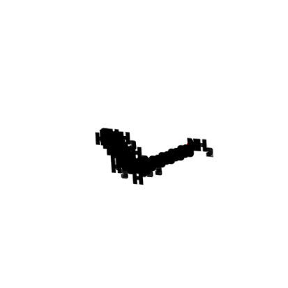 Cn1cc(NC(=O)c2nccn2C)cc1C(=O)NCCC(=O)Nc1cn(C)c(C(=O)Nc2cc(C(=O)NC(C)(C)CC(=O)Nc3cn(C)c(C(=O)NCCOCCOCCOCCOCCOCCOCCOCCOCCOc4ccc(N)cc4)n3)n(C)c2)n1